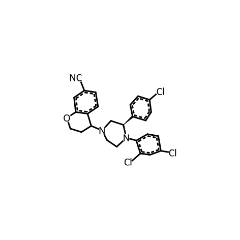 N#Cc1ccc2c(c1)OCCC2N1CCN(c2ccc(Cl)cc2Cl)[C@H](c2ccc(Cl)cc2)C1